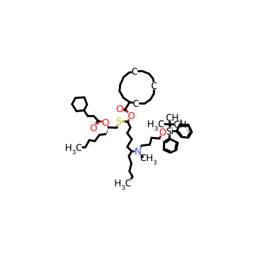 CCCCCC[C@@H](CSC(CCCCC(CCCCC)N(C)CCCCO[Si](c1ccccc1)(c1ccccc1)C(C)(C)C)OC(=O)C1CCCCCCCCCCCCCC1)OC(=O)CCC1CCCCC1